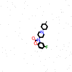 C[C@H]1CC[C@H](N2CCC(n3c(=O)oc4ccc(F)cc43)CC2)CC1